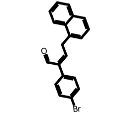 O=CC(=CCc1cccc2ccccc12)c1ccc(Br)cc1